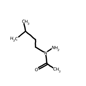 CC(=O)N(N)CCC(C)C